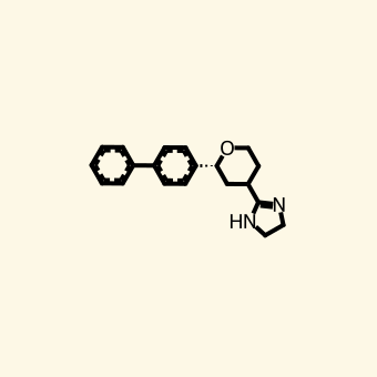 c1ccc(-c2ccc([C@H]3CC(C4=NCCN4)CCO3)cc2)cc1